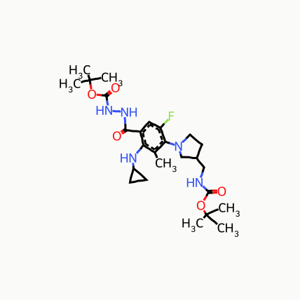 Cc1c(NC2CC2)c(C(=O)NNC(=O)OC(C)(C)C)cc(F)c1N1CCC(CNC(=O)OC(C)(C)C)C1